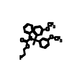 CC(c1cccc(OC(F)(F)F)c1)(c1cccc(OC(F)(F)F)c1)N(C(=O)OCCF)c1ccccc1